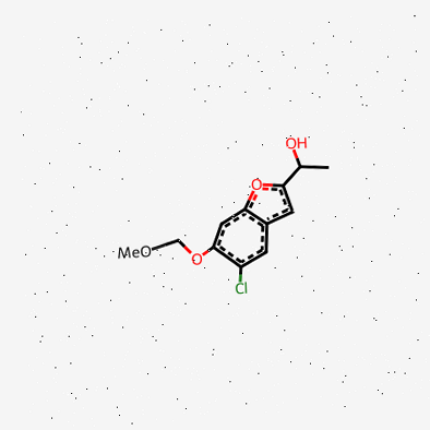 COCOc1cc2oc(C(C)O)cc2cc1Cl